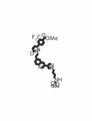 COC(=O)c1ccc(-c2ccc(=O)n(CCc3ccc4ncc(-c5cnn(CCCCNC(=O)OC(C)(C)C)c5)cc4c3)n2)cc1C(F)(F)F